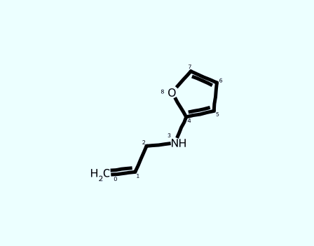 C=CCNc1ccco1